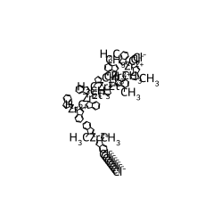 C1=C[CH]([Zr+2][CH]2C=Cc3ccccc32)c2ccccc21.CC1=Cc2ccccc2[CH]1[Zr+2][CH]1C(C)=Cc2ccccc21.CC1[C]([Zr+2][C]2=Cc3ccccc3C2C)=Cc2ccccc21.CCC1=CCC(CC)=[C]1[Zr+2][C]1=C(C)CC=C1C.Cc1ccc(C)c2c1C=C[CH]2[Zr+2][CH]1C=Cc2c(C)ccc(C)c21.Cc1cccc2c1C=C[CH]2[Zr+2][CH]1C=Cc2c(C)cccc21.[Cl-].[Cl-].[Cl-].[Cl-].[Cl-].[Cl-].[Cl-].[Cl-].[Cl-].[Cl-].[Cl-].[Cl-]